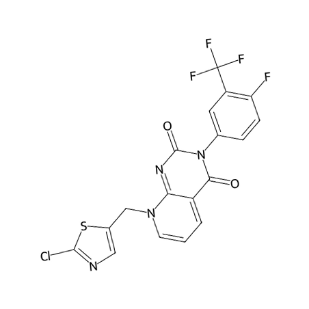 O=c1nc2n(Cc3cnc(Cl)s3)cccc-2c(=O)n1-c1ccc(F)c(C(F)(F)F)c1